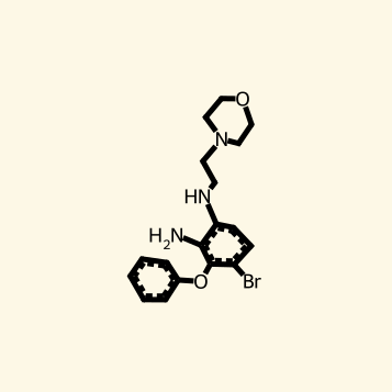 Nc1c(NCCN2CCOCC2)ccc(Br)c1Oc1ccccc1